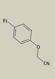 CCc1ccc(OCC#N)cc1